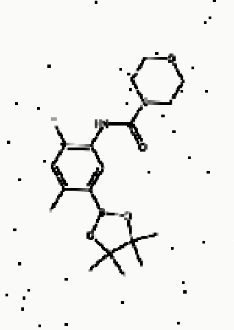 Cc1cc(F)c(NC(=O)N2CCOCC2)cc1B1OC(C)(C)C(C)(C)O1